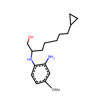 COc1ccc(NC(CO)CCCCCC2CC2)c(N)c1